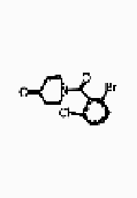 O=C1C=CN(C(=O)c2c(Cl)cccc2Br)CC1